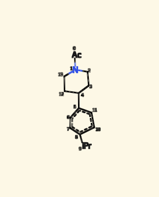 CC(=O)N1CCC(c2ccc(C(C)C)cc2)CC1